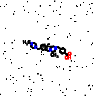 C[C@@H]1CN(Cc2ccc(C(=O)O)cc2)C[C@H](C)N1Cc1cccc(CN2CCN(C)CC2)c1